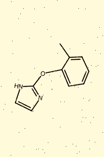 Cc1ccccc1Oc1n[c]c[nH]1